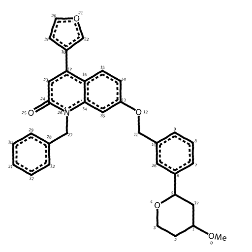 COC1CCOC(c2cccc(COc3ccc4c(-c5ccoc5)cc(=O)n(Cc5ccccc5)c4c3)c2)C1